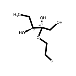 CC[C@H](O)[C@@](O)(CO)OCCF